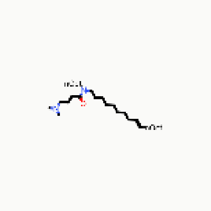 CCCCCCCCC=CCCCCCCCCN(CCCCCCCC)C(=O)CCCN(C)C